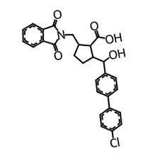 O=C(O)C1C(CN2C(=O)c3ccccc3C2=O)CCC1C(O)c1ccc(-c2ccc(Cl)cc2)cc1